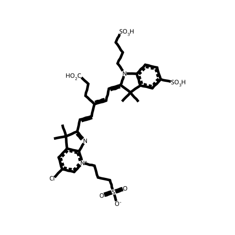 CC1(C)C(/C=C/C(=C/C=C2/N(CCCS(=O)(=O)O)c3ccc(S(=O)(=O)O)cc3C2(C)C)CCC(=O)O)=Nc2c1cc(Cl)c[n+]2CCCS(=O)(=O)[O-]